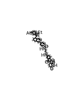 CCc1nc(-c2cccc3cc(-c4ccc(C(=O)NCCCNc5ccc6c(c5)C(=O)N(C5CCC(=O)NC5=O)C6=O)nc4)ncc23)c2n1CCN(C(C)=O)C2